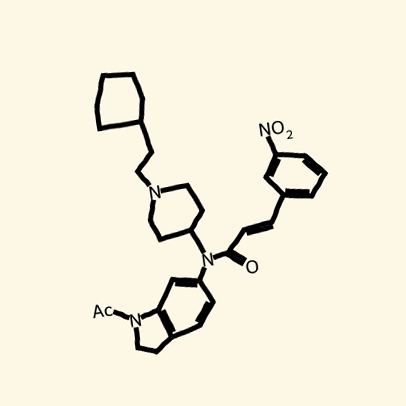 CC(=O)N1CCc2ccc(N(C(=O)C=Cc3cccc([N+](=O)[O-])c3)C3CCN(CCC4CCCCC4)CC3)cc21